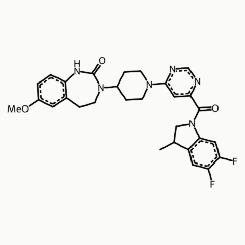 COc1ccc2c(c1)CCN(C1CCN(c3cc(C(=O)N4CC(C)c5cc(F)c(F)cc54)ncn3)CC1)C(=O)N2